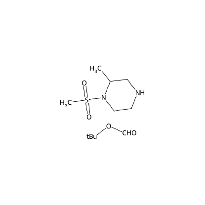 CC(C)(C)OC=O.CC1CNCCN1S(C)(=O)=O